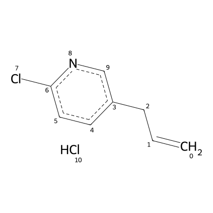 C=CCc1ccc(Cl)nc1.Cl